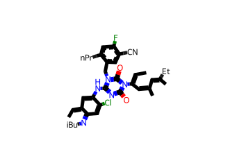 C/C=C1/C=C(Nc2nc(=O)n(C(/C=C(C)\C=C(/C)CC)=C/C)c(=O)n2Cc2cc(C#N)c(F)cc2CCC)C(Cl)=C/C1=N/C(C)CC